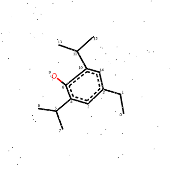 CCc1cc(C(C)C)c([O])c(C(C)C)c1